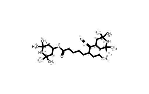 CCCC(CCCCC(=O)OC1CC(C)(C)NC(C)(C)C1)C(=C=O)C1CC(C)(C)NC(C)(C)C1